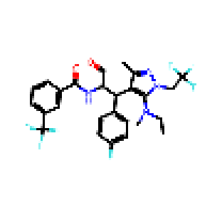 CCN(C)c1c(C(c2ccc(F)cc2)C(C=O)NC(=O)c2cccc(C(F)(F)F)c2)c(C)nn1CC(F)(F)F